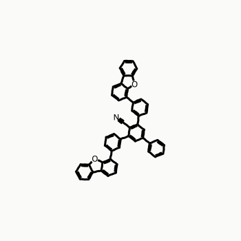 N#Cc1c(-c2cccc(-c3cccc4c3oc3ccccc34)c2)cc(-c2ccccc2)cc1-c1cccc(-c2cccc3c2oc2ccccc23)c1